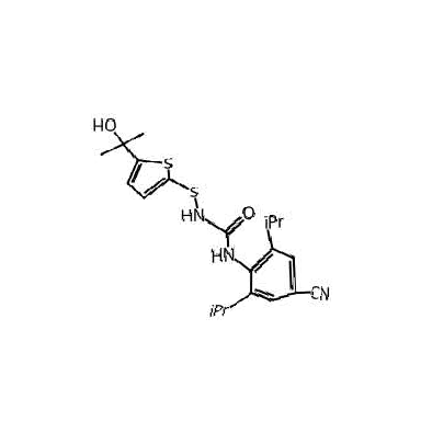 CC(C)c1cc(C#N)cc(C(C)C)c1NC(=O)NSc1ccc(C(C)(C)O)s1